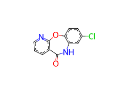 O=C1Nc2cc(Cl)ccc2Oc2ncccc21